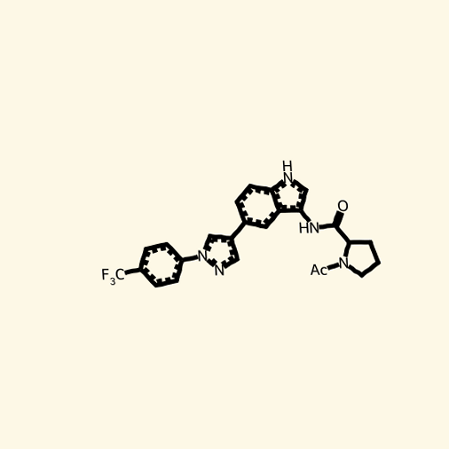 CC(=O)N1CCCC1C(=O)Nc1c[nH]c2ccc(-c3cnn(-c4ccc(C(F)(F)F)cc4)c3)cc12